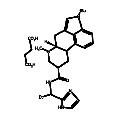 CCC(NC(=O)[C@@H]1CC2c3cccc4c3c(cn4C(C)(C)C)C[C@H]2N(C)C1)c1ncc[nH]1.O=C(O)CCC(=O)O